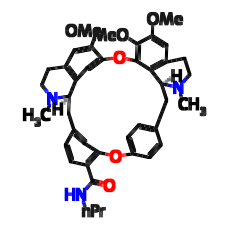 CCCNC(=O)c1ccc2cc1Oc1ccc(cc1)C[C@H]1c3c(cc(OC)c(OC)c3Oc3cc4c(cc3OC)CCN(C)[C@@H]4C2)CCN1C